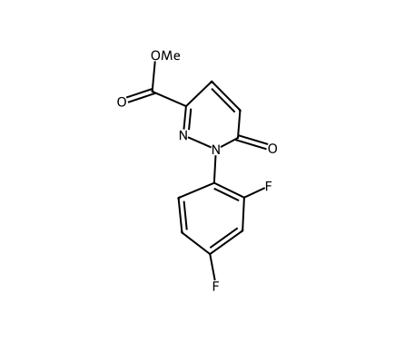 COC(=O)c1ccc(=O)n(-c2ccc(F)cc2F)n1